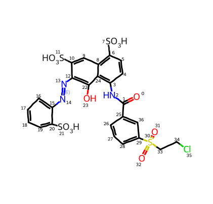 O=C(Nc1ccc(S(=O)(=O)O)c2cc(S(=O)(=O)O)c(/N=N/c3ccccc3S(=O)(=O)O)c(O)c12)c1cccc(S(=O)(=O)CCCl)c1